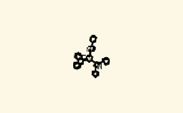 CC12C=CC=CC1=c1ccccc1=CC2c1cc(-c2cc(-c3ccccc3)nc(-c3ccccc3)c2)cc(-c2ccc(-c3ccccc3)cn2)c1